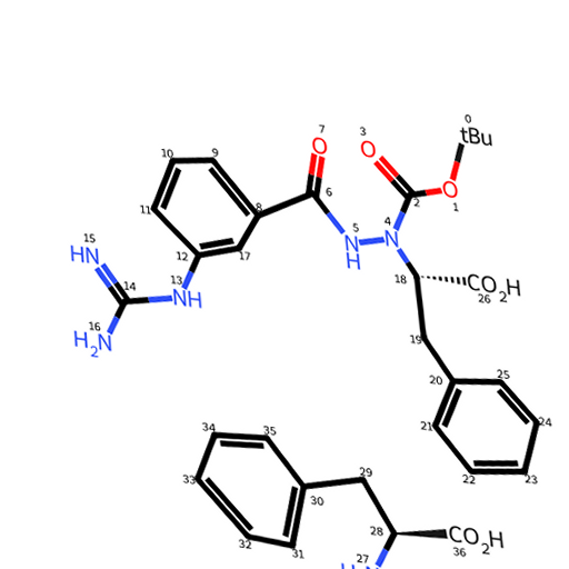 CC(C)(C)OC(=O)N(NC(=O)c1cccc(NC(=N)N)c1)[C@@H](Cc1ccccc1)C(=O)O.N[C@@H](Cc1ccccc1)C(=O)O